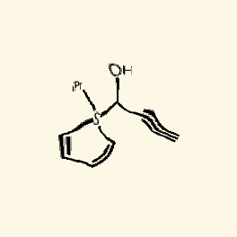 C#CC(O)S1(C(C)C)C=CC=C1